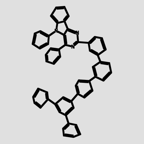 c1ccc(-c2cc(-c3ccccc3)cc(-c3ccc(-c4cccc(-c5cccc(-c6nc(-c7ccccc7)c7c(n6)c6ccccc6n7-c6ccccc6)c5)c4)cc3)c2)cc1